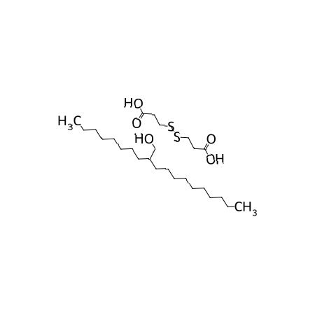 CCCCCCCCCCC(CO)CCCCCCCC.O=C(O)CCSSCCC(=O)O